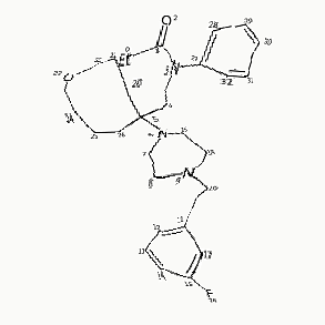 CCC(=O)N(CC1(N2CCN(Cc3cccc(F)c3)CC2)CCCOCCC1)c1ccccc1